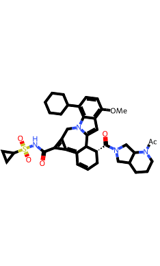 COc1ccc(C2CCCCC2)c2c1cc1n2CC2=C(C(=O)NS(=O)(=O)C3CC3)C2=C2C=CC[C@@H](C(=O)N3CC4CCCN(C(C)=O)C4C3)C21